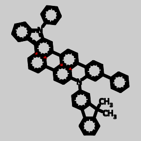 CC1(C)c2ccccc2-c2ccc(N(c3ccc(-c4ccccc4)cc3)c3cc(-c4ccccc4)ccc3-c3ccc(-c4ccc5c6ccccc6n(-c6ccccc6)c5c4)cc3)cc21